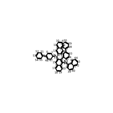 C1=CC(N(c2ccc3ccccc3c2)c2cc3ccccc3c3c2c2cc(-c4ccccc4)ccc2n3-c2cccc3ccccc23)CC=C1c1ccccc1